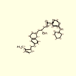 Cc1ncoc1COc1ccc2c(c1)CCN(C[C@@H](O)CNC(=O)c1cc(NC3CCCCC3)ncn1)C2